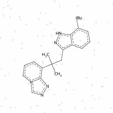 CC(C)(C)c1cccc2c(CC(C)(C)c3cccn4cnnc34)n[nH]c12